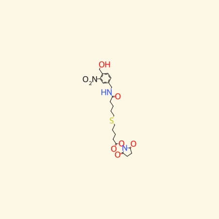 O=C(CCCCSCCCCC(=O)ON1C(=O)CCC1=O)NCc1ccc(CO)c([N+](=O)[O-])c1